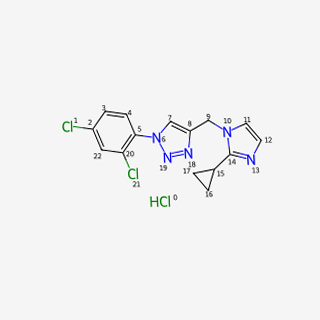 Cl.Clc1ccc(-n2cc(Cn3ccnc3C3CC3)nn2)c(Cl)c1